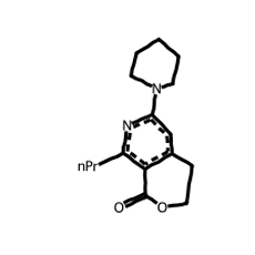 CCCc1nc(N2CCCCC2)cc2c1C(=O)OCC2